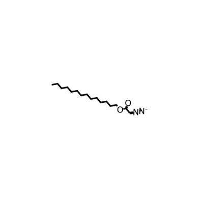 CCCCCCCCCCCCCCOC(=O)C=[N+]=[N-]